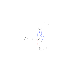 COCCOc1cc2ncnc(N/N=C/c3ccc(OC)cc3)c2cc1OCCOC